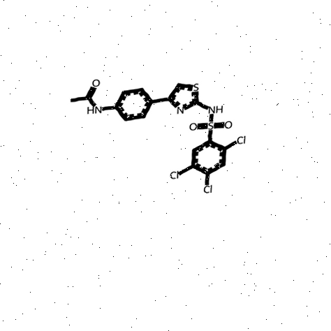 CC(=O)Nc1ccc(-c2csc(NS(=O)(=O)c3cc(Cl)c(Cl)cc3Cl)n2)cc1